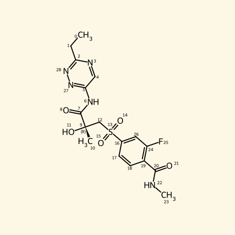 CCc1ncc(NC(=O)[C@@](C)(O)CS(=O)(=O)c2ccc(C(=O)NC)c(F)c2)nn1